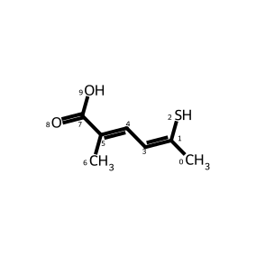 C/C(S)=C/C=C(\C)C(=O)O